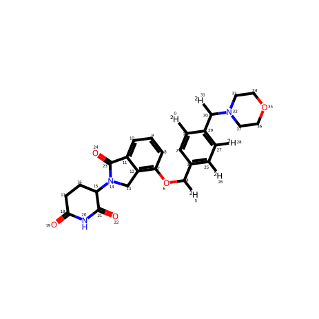 [2H]c1cc(C([2H])Oc2cccc3c2CN(C2CCC(=O)NC2=O)C3=O)c([2H])c([2H])c1C([2H])N1CCOCC1